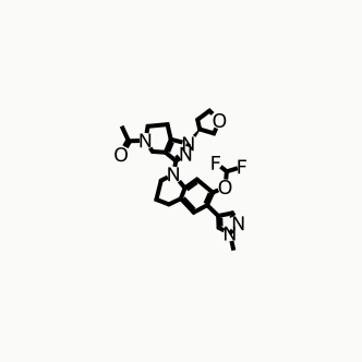 CC(=O)N1CCc2c(c(N3CCCc4cc(-c5cnn(C)c5)c(OC(F)F)cc43)nn2[C@H]2CCOC2)C1